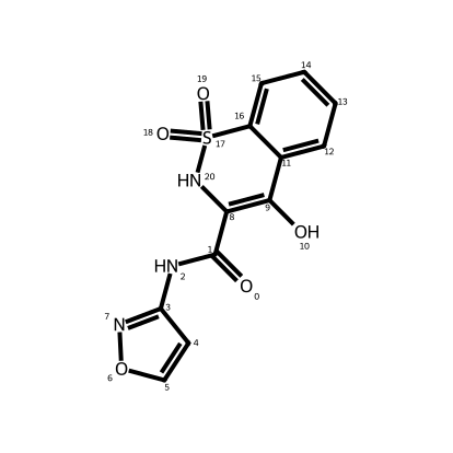 O=C(Nc1ccon1)C1=C(O)c2ccccc2S(=O)(=O)N1